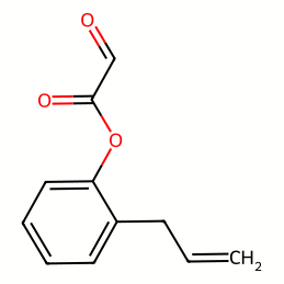 C=CCc1ccccc1OC(=O)C=O